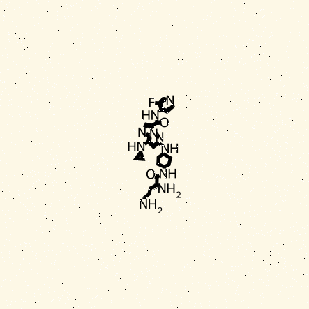 NCCC[C@H](N)C(=O)NC1CCC(Nc2cc(NC3CC3)c3ncc(C(=O)Nc4ccncc4F)n3n2)CC1